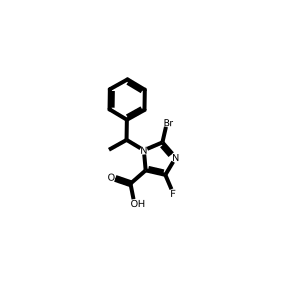 CC(c1ccccc1)n1c(Br)nc(F)c1C(=O)O